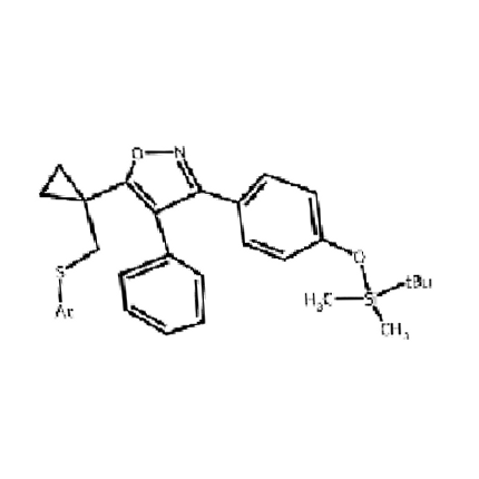 CC(=O)SCC1(c2onc(-c3ccc(O[Si](C)(C)C(C)(C)C)cc3)c2-c2ccccc2)CC1